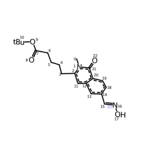 Cn1c(CCCCC(=O)OC(C)(C)C)cc2cc(/C=N/O)ccc2c1=O